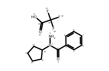 NN(C(=O)c1ccccc1)C1CCCC1.O=C(O)C(F)(F)F